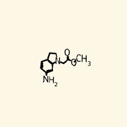 COC(=O)CN1CCc2ccc(N)cc21